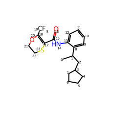 CC(CC1CCCC1)c1ccccc1NC(=O)C1=C(C(F)(F)F)OCCS1